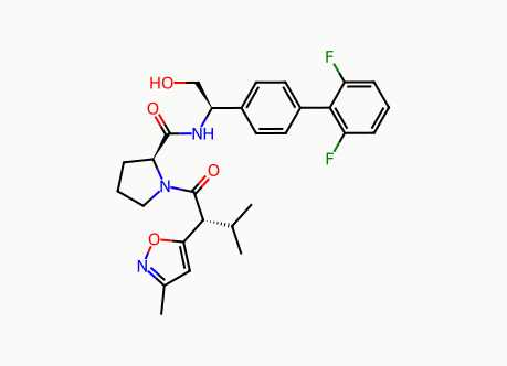 Cc1cc([C@H](C(=O)N2CCC[C@H]2C(=O)N[C@@H](CO)c2ccc(-c3c(F)cccc3F)cc2)C(C)C)on1